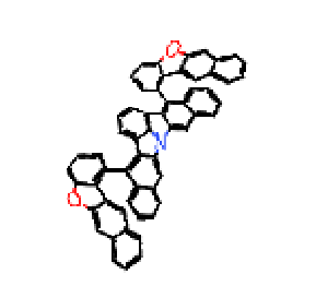 c1ccc2cc3c(cc2c1)oc1cccc(-c2c4ccccc4cc4c2c2cccc5c6c(-c7cccc8oc9cc%10ccccc%10cc9c78)c7ccccc7cc6n4c25)c13